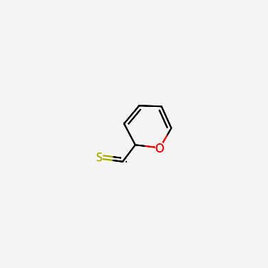 S=[C]C1C=CC=CO1